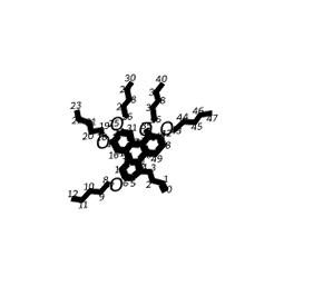 C=CCCc1cc(OCCCCC)cc2c3cc(OCCCCC)c(OCCCCC)cc3c3c(OCCCCC)c(OCCCCC)ccc3c12